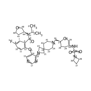 CC(C)N(C(=O)c1cc(F)ccc1Oc1cncnc1N1CC2(CCN(C[C@@H]3CCC(NS(=O)(=O)N4CCC4)=CO3)CC2)C1)[C@H]1CCOC1